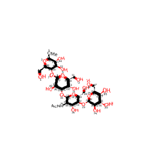 CO[C@@H]1O[C@H](CO)[C@@H](O[C@@H]2O[C@H](CO)[C@H](O)[C@H](O[C@@H]3O[C@H](CO)[C@@H](O[C@@H]4O[C@H](CO)[C@H](O)[C@H](O)[C@H]4O)[C@H](O)[C@H]3NC(C)=O)[C@H]2O)[C@H](O)[C@H]1O